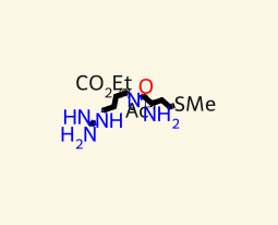 CCOC(=O)[C@H](CCCNC(=N)N)N(C(C)=O)C(=O)[C@@H](N)CCSC